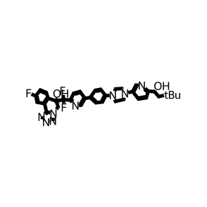 CC(C)(C)CC(O)c1ccc(N2CCN(c3ccc(-c4ccc(C(F)(F)[C@]5(O)Cn6nnnc6-c6cc(F)ccc65)nc4)cc3)CC2)cn1